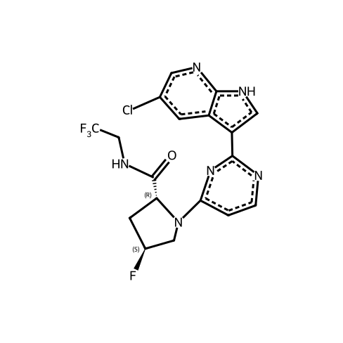 O=C(NCC(F)(F)F)[C@H]1C[C@H](F)CN1c1ccnc(-c2c[nH]c3ncc(Cl)cc23)n1